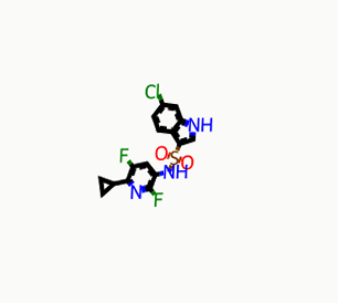 O=S(=O)(Nc1cc(F)c(C2CC2)nc1F)c1c[nH]c2cc(Cl)ccc12